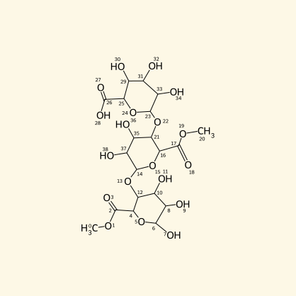 COC(=O)C1OC(O)C(O)C(O)C1OC1OC(C(=O)OC)C(OC2OC(C(=O)O)C(O)C(O)C2O)C(O)C1O